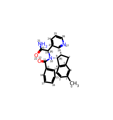 Cc1ccc2c(c1)CC[C@H]2N(C(=O)c1ccccc1)[C@@H](C(N)=O)c1cccnc1